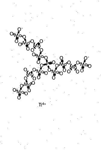 O=P([O][Mo](=[O])(=[O])[O][Mo](=[O])(=[O])[O][Mo](=[O])(=[O])[O][Mo](=[O])(=[O])[O-])([O][Mo](=[O])(=[O])[O][Mo](=[O])(=[O])[O][Mo](=[O])(=[O])[O][Mo](=[O])(=[O])[O-])[O][Mo](=[O])(=[O])[O][Mo](=[O])(=[O])[O][Mo](=[O])(=[O])[O][Mo](=[O])(=[O])[O-].[Ti+4]